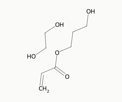 C=CC(=O)OCCCO.OCCO